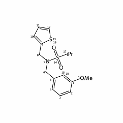 COc1cccc(CN(Cc2cccs2)S(=O)(=O)C(C)C)c1